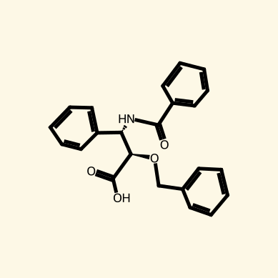 O=C(N[C@@H](c1ccccc1)[C@@H](OCc1ccccc1)C(=O)O)c1ccccc1